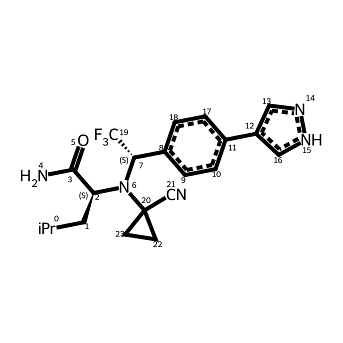 CC(C)C[C@@H](C(N)=O)N([C@@H](c1ccc(-c2cn[nH]c2)cc1)C(F)(F)F)C1(C#N)CC1